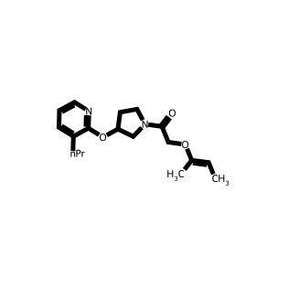 C/C=C(\C)OCC(=O)N1CCC(Oc2ncccc2CCC)C1